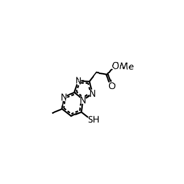 COC(=O)Cc1nc2nc(C)cc(S)n2n1